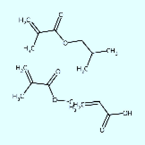 C=C(C)C(=O)OC.C=C(C)C(=O)OCC(C)C.C=CC(=O)O